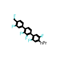 CCCc1cc(F)c(-c2ccc(-c3ccc(CF)c(F)c3)c(F)c2F)cc1F